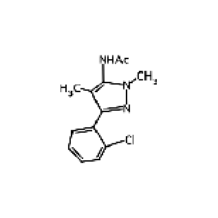 CC(=O)Nc1c(C)c(-c2ccccc2Cl)nn1C